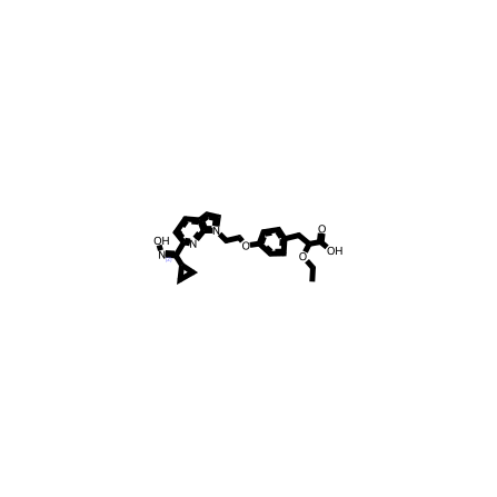 CCOC(Cc1ccc(OCCn2ccc3ccc(/C(=N\O)C4CC4)nc32)cc1)C(=O)O